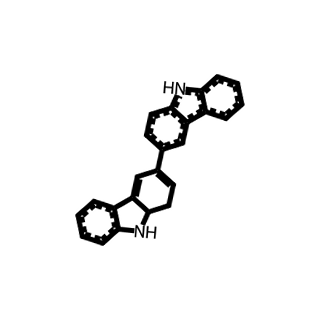 C1=C(c2ccc3[nH]c4ccccc4c3c2)C=C2c3ccccc3NC2C1